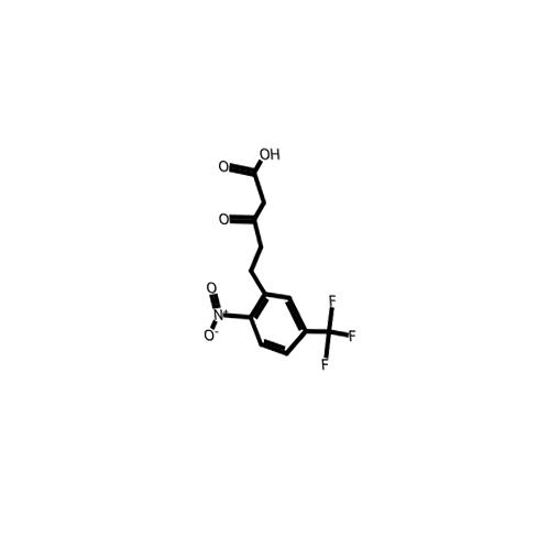 O=C(O)CC(=O)CCc1cc(C(F)(F)F)ccc1[N+](=O)[O-]